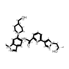 C[C@H](O)Cn1cc(-c2cccc(C(=O)Nc3cc4cnn(C)c4cc3N3CCC(CO)CC3)n2)cn1